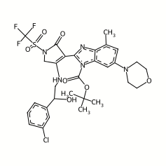 Cc1cc(N2CCOCC2)cc2c1nc(C1=C(NCC(O)c3cccc(Cl)c3)CN(S(=O)(=O)C(F)(F)F)C1=O)n2C(=O)OC(C)(C)C